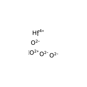 [Hf+4].[O+2].[O-2].[O-2].[O-2]